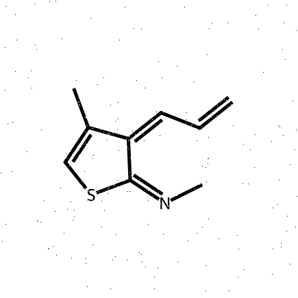 C=C/C=C1/C(C)=CS/C1=N/C